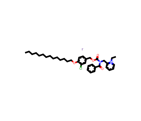 CCCCCCCCCCCCCCOc1ccc(COC(=O)N(Cc2cccc[n+]2CC)C(=O)c2ccccc2)cc1Cl.[I-]